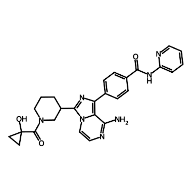 Nc1nccn2c(C3CCCN(C(=O)C4(O)CC4)C3)nc(-c3ccc(C(=O)Nc4ccccn4)cc3)c12